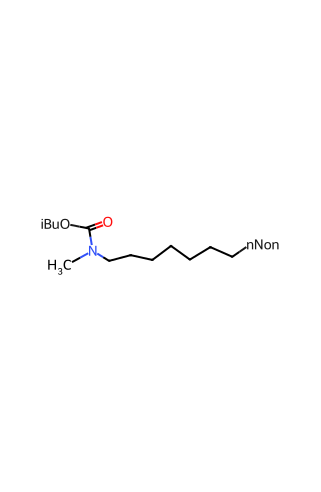 CCCCCCCCCCCCCCCCN(C)C(=O)OCC(C)C